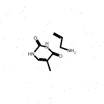 C=CCN.Cc1c[nH]c(=O)[nH]c1=O